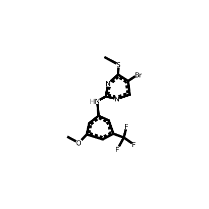 COc1cc(Nc2ncc(Br)c(SC)n2)cc(C(F)(F)F)c1